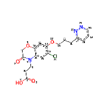 O=C(O)CCN1C(=O)COc2cc(OCCCc3cccnn3)c(Cl)cc21